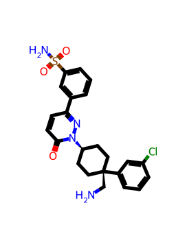 NC[C@]1(c2cccc(Cl)c2)CC[C@H](n2nc(-c3cccc(S(N)(=O)=O)c3)ccc2=O)CC1